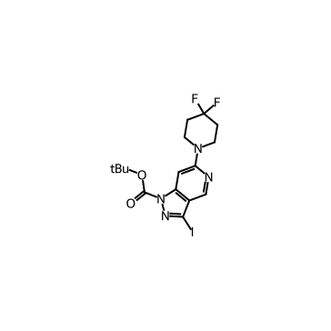 CC(C)(C)OC(=O)n1nc(I)c2cnc(N3CCC(F)(F)CC3)cc21